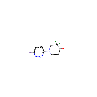 OC1CCN(c2ccc(I)nn2)CC1(F)F